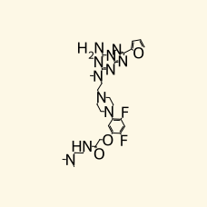 CN(C)CCNC(=O)COc1cc(N2CCN(CCN(C)c3nc(N)n4nc(-c5ccco5)nc4n3)CC2)c(F)cc1F